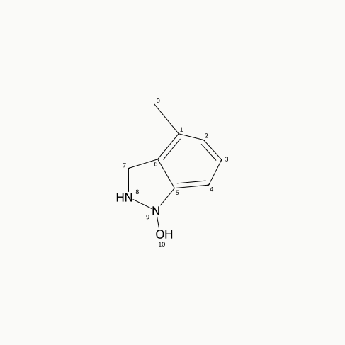 Cc1cccc2c1CNN2O